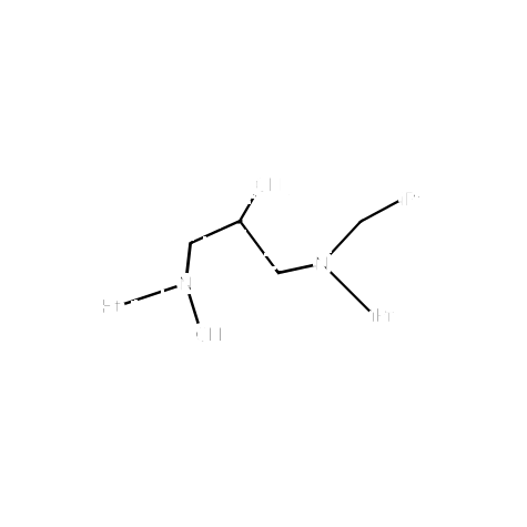 CCN(C)CC(C)CN(CC(C)C)C(C)C